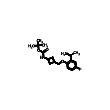 C[C@H](N)c1cc(F)ccc1OCC1CC(NC(=O)OC(C)(C)C)C1